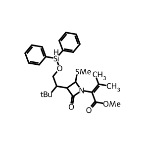 COC(=O)C(=C(C)C)N1C(=O)C(C(CO[SiH](c2ccccc2)c2ccccc2)C(C)(C)C)C1SC